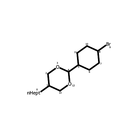 CCCCCCCC1COC(C2CCC(Br)CC2)OC1